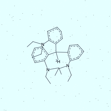 [2H]C(c1ccccc1N(CC)CC)(c1ccccc1N(CC)CC)c1ccccc1N(CC)CC